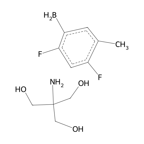 Bc1cc(C)c(F)cc1F.NC(CO)(CO)CO